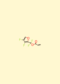 C=CC(=O)OC(F)(F)c1occ(F)c1F